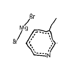 Cc1[c]nccc1.[Br][Mg][Br]